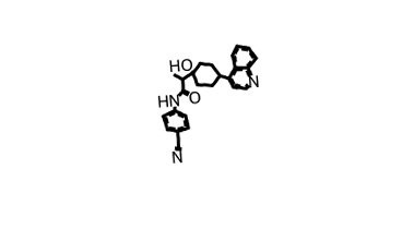 CC(C(=O)Nc1ccc(C#N)cc1)C1(O)CCC(c2ccnc3ccccc23)CC1